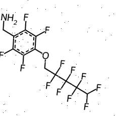 NCc1c(F)c(F)c(OCC(F)(F)C(F)(F)C(F)(F)C(F)F)c(F)c1F